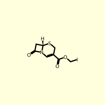 O=C(OCI)C1=CN2C(=O)C[C@@H]2SC1